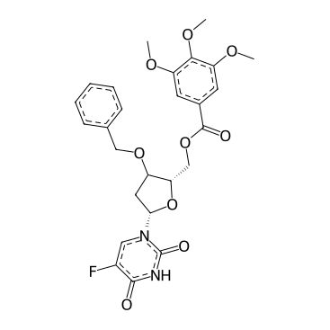 COc1cc(C(=O)OC[C@@H]2O[C@H](n3cc(F)c(=O)[nH]c3=O)CC2OCc2ccccc2)cc(OC)c1OC